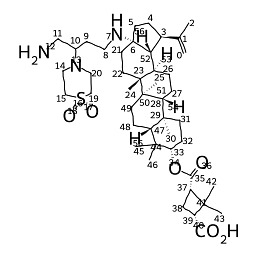 C=C(C)[C@@H]1CC[C@]2(NCCC(CN)N3CCS(=O)(=O)CC3)CC[C@]3(C)[C@H](CC[C@@H]4[C@@]5(C)CC[C@H](OC(=O)[C@H]6C[C@@H](C(=O)O)C6(C)C)C(C)(C)[C@@H]5CC[C@]43C)[C@@H]12